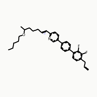 C=CCc1ccc(-c2ccc(-c3ccc(/C=C/CCCC(C)OCCCCC)nc3)cc2)c(F)c1F